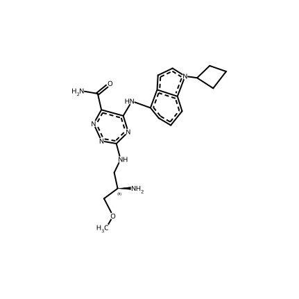 COC[C@H](N)CNc1nnc(C(N)=O)c(Nc2cccc3c2ccn3C2CCC2)n1